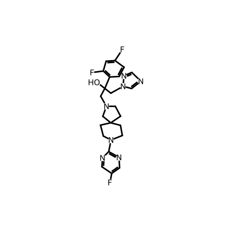 OC(CN1CCC2(CCN(c3ncc(F)cn3)CC2)C1)(Cn1cncn1)c1ccc(F)cc1F